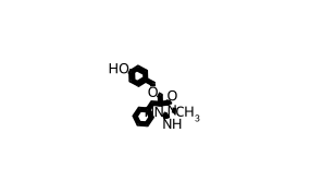 CN1C(=N)NC(COCc2ccc(O)cc2)(CC2CCCCC2)C1=O